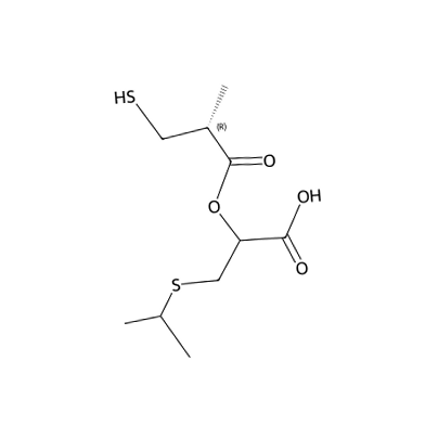 CC(C)SCC(OC(=O)[C@@H](C)CS)C(=O)O